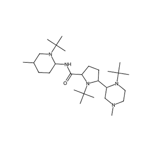 CC1CCC(NC(=O)C2CCC(C3CN(C)CCN3C(C)(C)C)N2C(C)(C)C)N(C(C)(C)C)C1